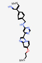 CN/C=C(\C=N)c1ccc(CNc2cc(-c3cnc4cc(OCCSC)ccn34)ncn2)cc1